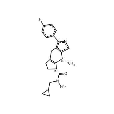 CCCN(CC1CC1)C(=O)[C@@H]1CCC2=C1[C@@H](C)c1cnn(-c3ccc(F)cc3)c1C2